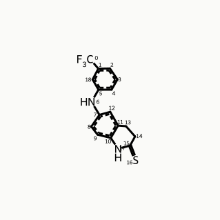 FC(F)(F)c1cccc(Nc2ccc3c(c2)CCC(=S)N3)c1